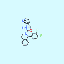 O=C(N[C@@H]1CN2CCC1CC2)N1CCc2ccccc2[C@@H]1c1ccc(F)c(F)c1